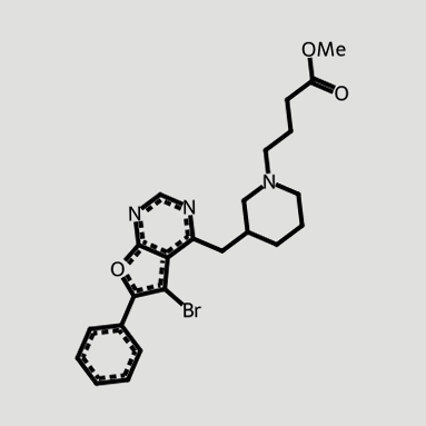 COC(=O)CCCN1CCCC(Cc2ncnc3oc(-c4ccccc4)c(Br)c23)C1